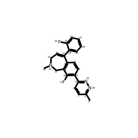 Cc1ccc(-c2ccc3c(c2F)CN(C)CC=C3c2ccccc2F)nn1